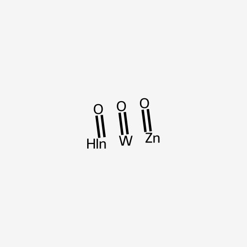 [O]=[InH].[O]=[W].[O]=[Zn]